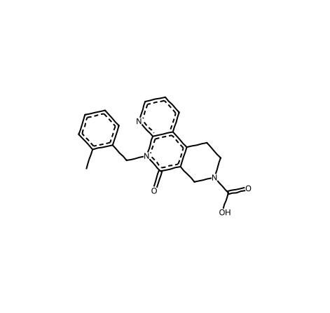 Cc1ccccc1Cn1c(=O)c2c(c3cccnc31)CCN(C(=O)O)C2